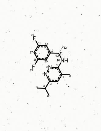 Cc1cc(C(C)C)nnc1N[C@@H](C)c1cc(F)cc(F)c1